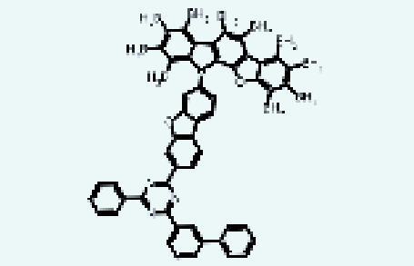 Bc1c(B)c(B)c2c(oc3c2c(B)c(B)c2c4c(B)c(B)c(B)c(B)c4n(-c4ccc5c(c4)oc4cc(-c6nc(-c7ccccc7)nc(-c7cccc(-c8ccccc8)c7)n6)ccc45)c32)c1B